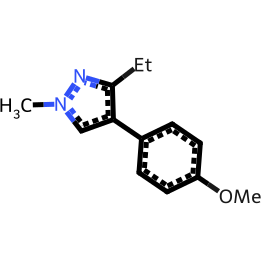 [CH2+][CH-]c1nn(C)cc1-c1ccc(OC)cc1